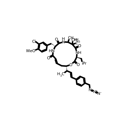 COc1ccc(C[C@H]2NC(=O)/C=C/C[C@@H](C(C)/C=C/c3ccc(CN=[N+]=[N-])cc3)OC(=O)[C@H](CC(C)C)NC(=O)C(C)(C)C(C)NC2=O)cc1Cl